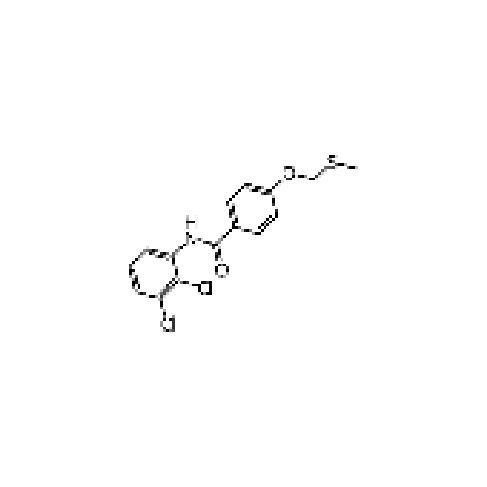 CSCOc1ccc(C(=O)Nc2cccc(Cl)c2Cl)cc1